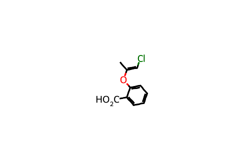 CC(=CCl)Oc1ccccc1C(=O)O